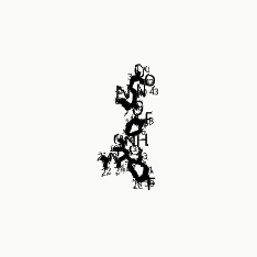 COc1cc2nccc(Oc3ccc(NC(=O)c4cn(C(C)C)c(C)c(-c5ccc(F)cc5C)c4=O)cc3F)c2nc1OC